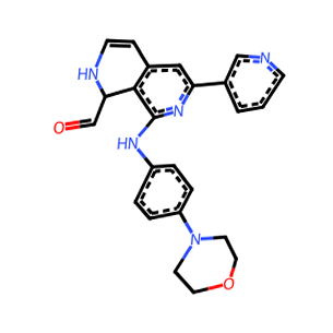 O=CC1NC=Cc2cc(-c3cccnc3)nc(Nc3ccc(N4CCOCC4)cc3)c21